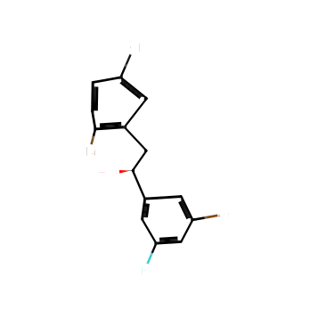 O[C@@H](Cc1cc(C(F)(F)F)ccc1Br)c1cc(F)cc(Br)c1